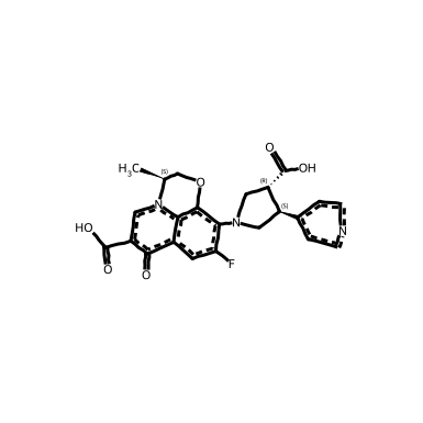 C[C@H]1COc2c(N3C[C@H](C(=O)O)[C@@H](c4ccncc4)C3)c(F)cc3c(=O)c(C(=O)O)cn1c23